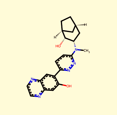 CN(c1ccc(-c2cc3nccnc3cc2O)nn1)[C@H]1C[C@@H]2CC[C@@H](C2)[C@H]1O